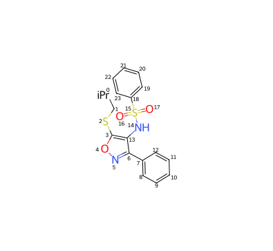 CC(C)CSc1onc(-c2ccccc2)c1NS(=O)(=O)c1ccccc1